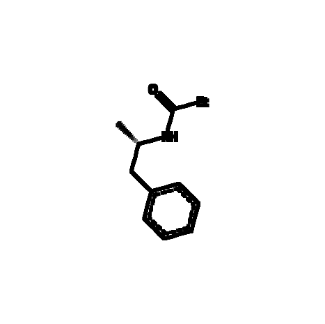 CCC(=O)N[C@@H](C)Cc1ccccc1